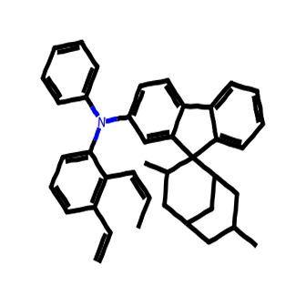 C=Cc1cccc(N(c2ccccc2)c2ccc3c(c2)C2(c4ccccc4-3)C(C)CC3CC(C)CC2C3)c1/C=C\C